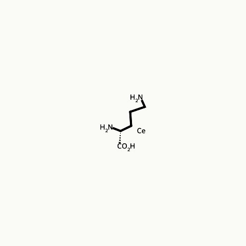 NCCC[C@@H](N)C(=O)O.[Ce]